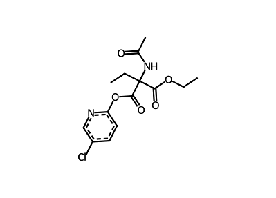 CCOC(=O)C(CC)(NC(C)=O)C(=O)Oc1ccc(Cl)cn1